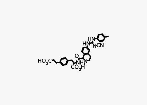 Cc1ccc(NC(=NC#N)Nc2ccc3c(c2)CCN(C)C3C(=O)NC(Cc2ccc(CCC(=O)O)cc2)C(=O)O)cc1